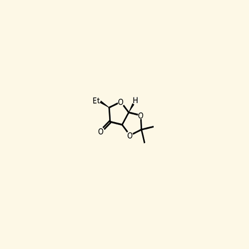 CC[C@H]1O[C@@H]2OC(C)(C)OC2C1=O